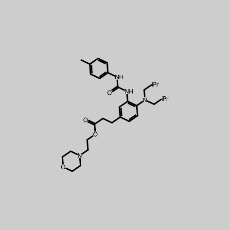 Cc1ccc(NC(=O)Nc2cc(CCC(=O)OCCN3CCOCC3)ccc2N(CC(C)C)CC(C)C)cc1